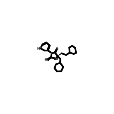 N=C1N[C@](CCC2CCCCC2)(CC2CCCCC2)C(=O)N1C1=CC=CNC1